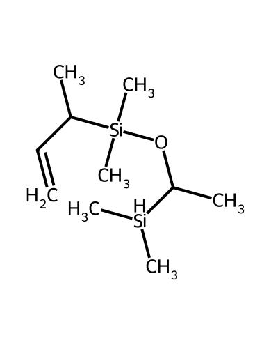 C=CC(C)[Si](C)(C)OC(C)[SiH](C)C